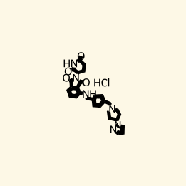 Cl.O=C1CCC(N2C(=O)c3cccc(NCc4ccc(CN5CCC(n6cccn6)CC5)cc4)c3C2=O)C(=O)N1